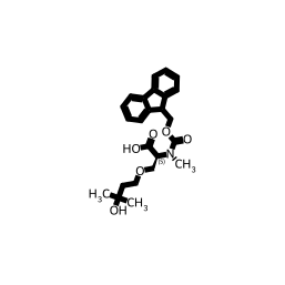 CN(C(=O)OCC1c2ccccc2-c2ccccc21)[C@@H](COCCC(C)(C)O)C(=O)O